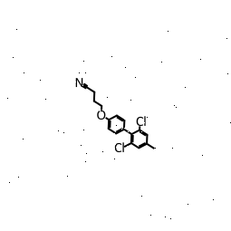 Cc1cc(Cl)c(-c2ccc(OCCCC#N)cc2)c(Cl)c1